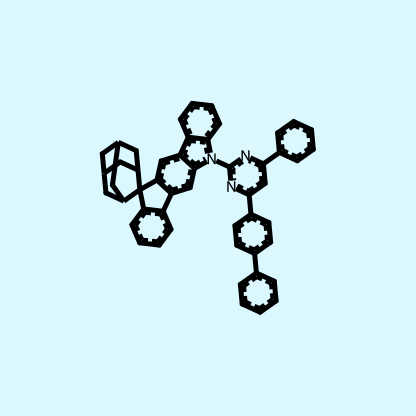 c1ccc(-c2ccc(-c3cc(-c4ccccc4)nc(-n4c5ccccc5c5cc6c(cc54)-c4ccccc4C64C5CC6CC(C5)CC4C6)n3)cc2)cc1